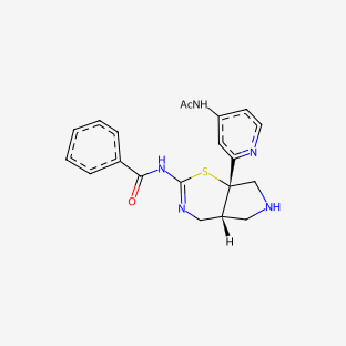 CC(=O)Nc1ccnc([C@@]23CNC[C@@H]2CN=C(NC(=O)c2ccccc2)S3)c1